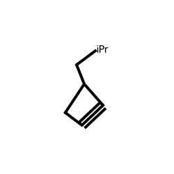 CC(C)CC1C#CC1